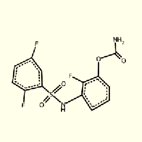 NC(=O)Oc1cccc(NS(=O)(=O)c2cc(F)ccc2F)c1F